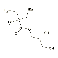 CC(C)(C)CC(C)(CP)C(=O)OCC(O)CO